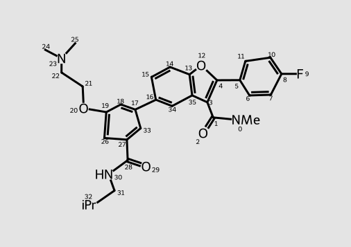 CNC(=O)c1c(-c2ccc(F)cc2)oc2ccc(-c3cc(OCCN(C)C)cc(C(=O)NCC(C)C)c3)cc12